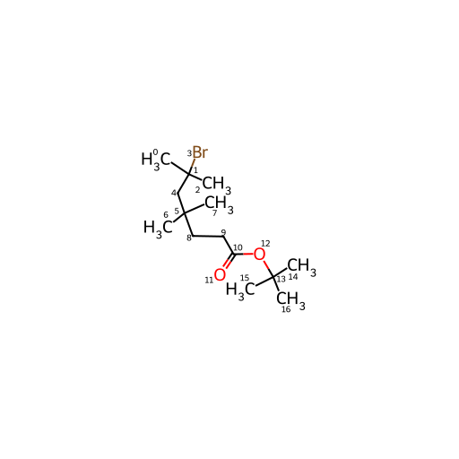 CC(C)(Br)CC(C)(C)CCC(=O)OC(C)(C)C